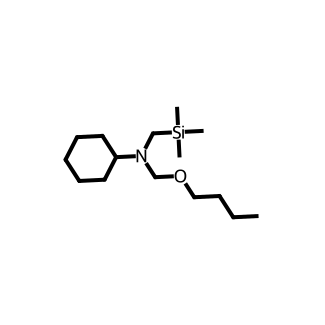 CCCCOCN(C[Si](C)(C)C)C1CCCCC1